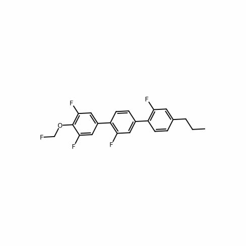 CCCc1ccc(-c2ccc(-c3cc(F)c(OCF)c(F)c3)c(F)c2)c(F)c1